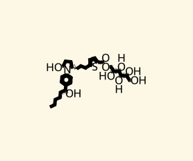 CCCCC[C@H](O)c1ccc(N2C(O)CC[C@@H]2CCCc2ccc(C(=O)OC[C@@H](O)[C@H](O)[C@H](O)[C@@H](O)CO)s2)cc1